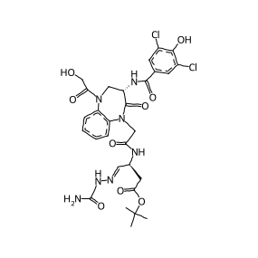 CC(C)(C)OC(=O)C[C@@H](/C=N/NC(N)=O)NC(=O)CN1C(=O)[C@@H](NC(=O)c2cc(Cl)c(O)c(Cl)c2)CN(C(=O)CO)c2ccccc21